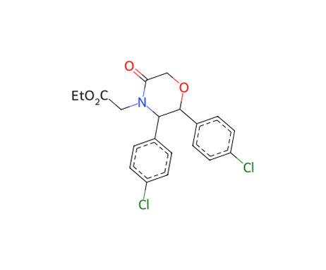 CCOC(=O)CN1C(=O)COC(c2ccc(Cl)cc2)C1c1ccc(Cl)cc1